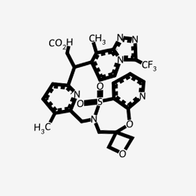 Cc1ccc(C(CC(=O)O)c2ccn3c(C(F)(F)F)nnc3c2C)nc1CN1CC2(COC2)Oc2ncccc2S1(=O)=O